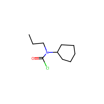 CCCN(C(=O)Cl)C1CCCCC1